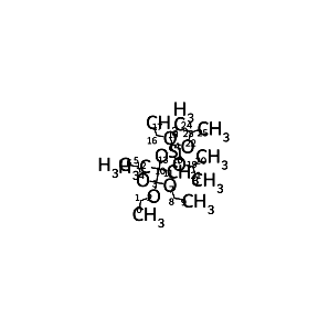 CCOC(OCC)(OCC)C(C)(C)O[Si](OCC)(OC(C)C)OC(C)C